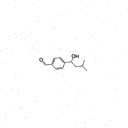 CC(C)CC(O)c1ccc(C=O)cc1